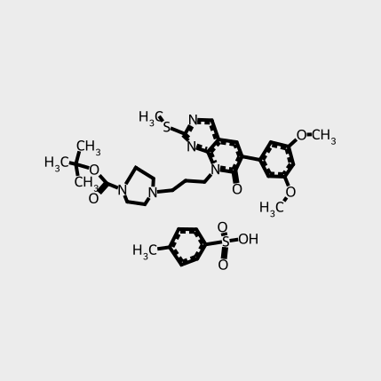 COc1cc(OC)cc(-c2cc3cnc(SC)nc3n(CCCN3CCN(C(=O)OC(C)(C)C)CC3)c2=O)c1.Cc1ccc(S(=O)(=O)O)cc1